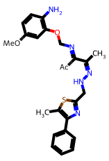 COc1ccc(N)c(OC/N=C(C(C)=O)/C(C)=N\NCc2nc(-c3ccccc3)c(C)s2)c1